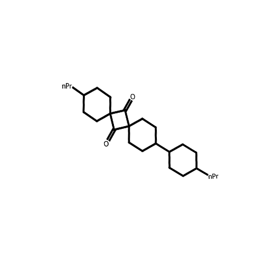 CCCC1CCC(C2CCC3(CC2)C(=O)C2(CCC(CCC)CC2)C3=O)CC1